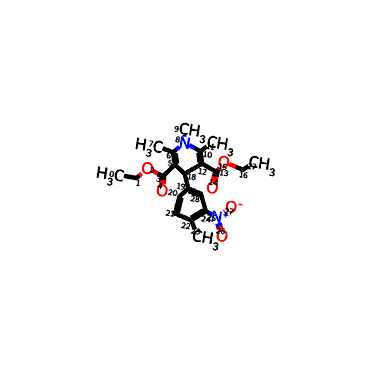 CCOC(=O)C1=C(C)N(C)C(C)=C(C(=O)OCC)C1c1ccc(C)c([N+](=O)[O-])c1